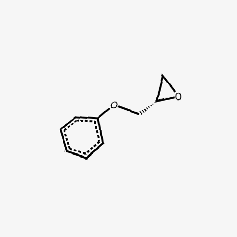 [c]1ccc(OC[C@@H]2CO2)cc1